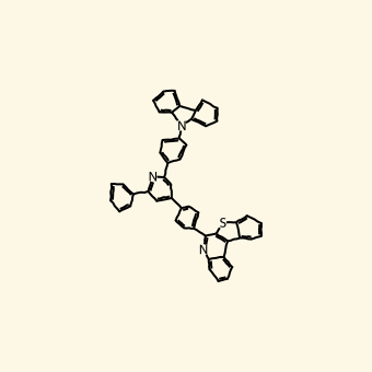 c1ccc(-c2cc(-c3ccc(-c4nc5ccccc5c5c4sc4ccccc45)cc3)cc(-c3ccc(-n4c5ccccc5c5ccccc54)cc3)n2)cc1